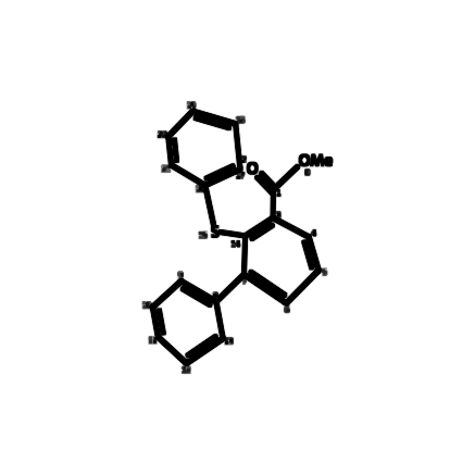 COC(=O)c1cccc(-c2ccccc2)c1Sc1ccccc1